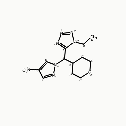 O=[N+]([O-])c1cnn(C(c2nnnn2CC(F)(F)F)C2CCOCC2)c1